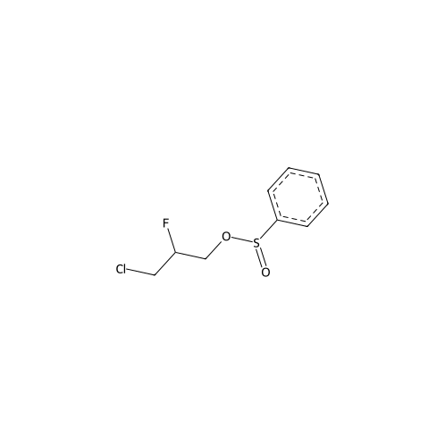 O=S(OCC(F)CCl)c1ccccc1